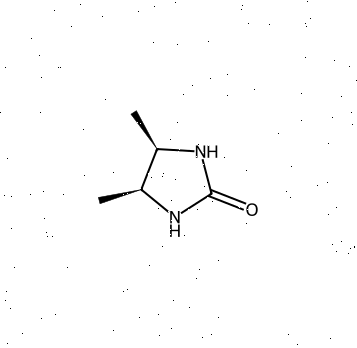 C[C@@H]1NC(=O)N[C@@H]1C